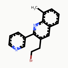 Cc1cccc2cc(CCBr)c(-c3cccnc3)nc12